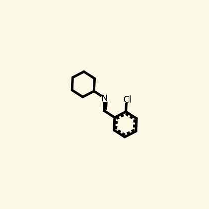 Clc1ccccc1C=NC1CCCCC1